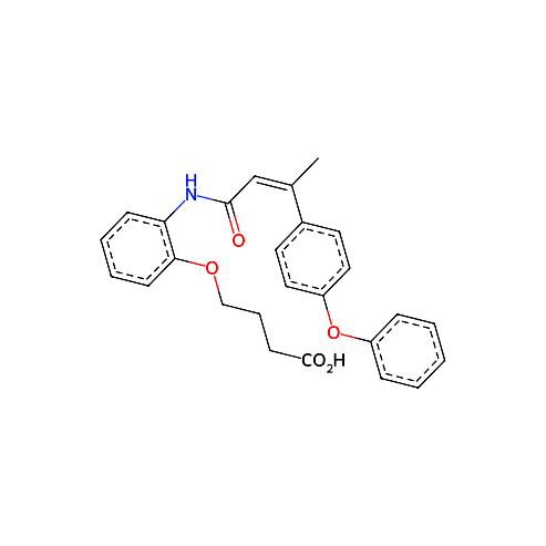 CC(=CC(=O)Nc1ccccc1OCCCC(=O)O)c1ccc(Oc2ccccc2)cc1